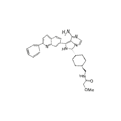 COCC(=O)NC[C@H]1CC[C@H](C2NC(c3ccc4ccc(-c5ccccc5)nc4c3)=C3C(N)=NC=CN32)CC1